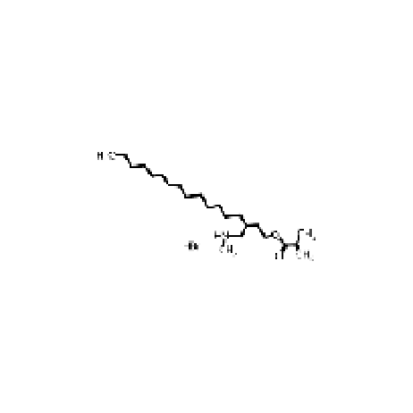 Br.C=C(C)C(=O)OCCC(CCCCCCCCCCCCCC)CNC